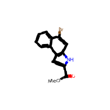 COC(=O)c1cc2c(cc(Br)c3ccccc32)[nH]1